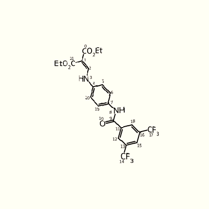 CCOC(=O)C(=CNc1ccc(NC(=O)c2cc(C(F)(F)F)cc(C(F)(F)F)c2)cc1)C(=O)OCC